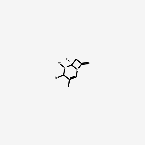 CC1=CN2C(=O)C[C@@H]2[S+]([O-])C1Br